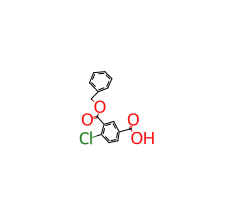 O=C(O)c1ccc(Cl)c(C(=O)OCc2ccccc2)c1